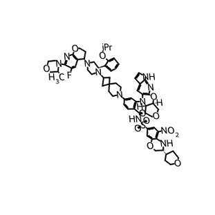 CC(C)Oc1ccccc1[C@@H]1CN([C@H]2CCOc3nc(N4CCOC[C@@H]4C)c(F)cc32)CCN1C1CC2(CCN(c3ccc(C(=O)NS(=O)(=O)c4cc5c(c([N+](=O)[O-])c4)N[C@H](C4CCOCC4)CO5)c(N4c5cc6cc[nH]c6nc5O[C@H]5COCC[C@@H]54)c3)CC2)C1